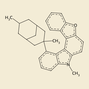 CC1CC2CC(C1)CC(C)(c1cccc3c1c1c4c(ccc1n3C)oc1ccccc14)C2